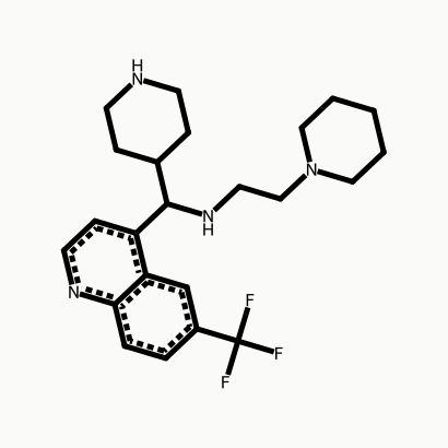 FC(F)(F)c1ccc2nccc(C(NCCN3CCCCC3)C3CCNCC3)c2c1